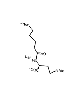 CCCCCCCCCCCCCC(=O)N[C@@H](CCSC)C(=O)[O-].[Na+]